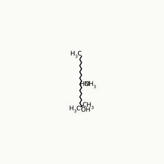 CCCCCCCCCCCCCCCCCC(C)(C)O.Cl.N